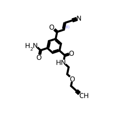 C#CCOCCNC(=O)c1cc(C(N)=O)cc(C(=O)/C=C/C#N)c1